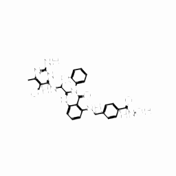 CCC(Nc1nc(N)nc(C)c1Cl)c1nc2cccc(NCc3ccc(C(=O)NO)cc3)c2c(=O)n1-c1ccccc1